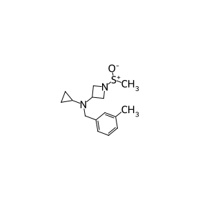 Cc1cccc(CN(C2CC2)C2CN([S+](C)[O-])C2)c1